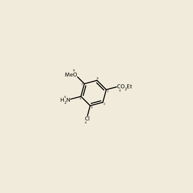 CCOC(=O)c1cc(Cl)c(N)c(OC)c1